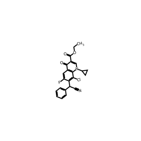 CCOC(=O)c1cn(C2CC2)c2c(Cl)c(C(C#N)c3ccccc3)c(F)cc2c1=O